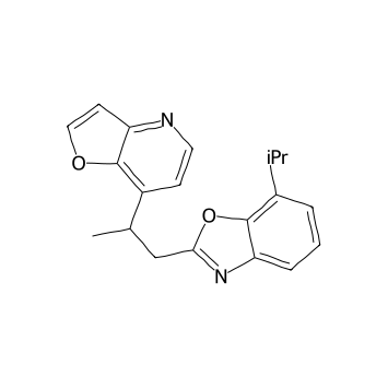 CC(C)c1cccc2nc(CC(C)c3ccnc4ccoc34)oc12